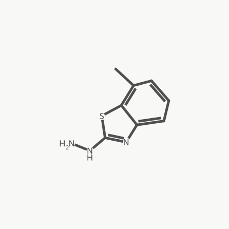 Cc1cccc2nc(NN)sc12